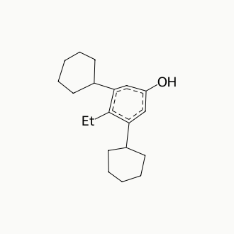 CCc1c(C2CCCCC2)cc(O)cc1C1CCCCC1